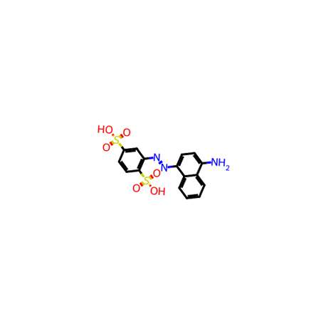 Nc1ccc(N=Nc2cc(S(=O)(=O)O)ccc2S(=O)(=O)O)c2ccccc12